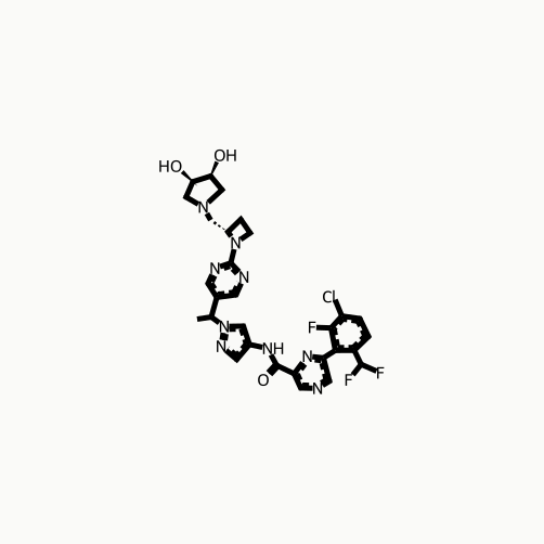 CC(c1cnc(N2CC[C@H]2CN2C[C@@H](O)[C@@H](O)C2)nc1)n1cc(NC(=O)c2cncc(-c3c(C(F)F)ccc(Cl)c3F)n2)cn1